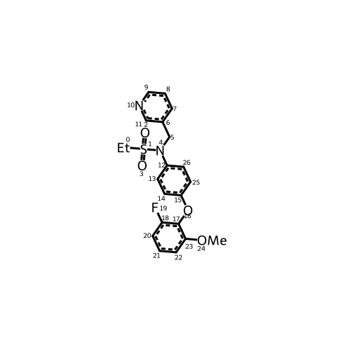 CCS(=O)(=O)N(Cc1cccnc1)c1ccc(Oc2c(F)cccc2OC)cc1